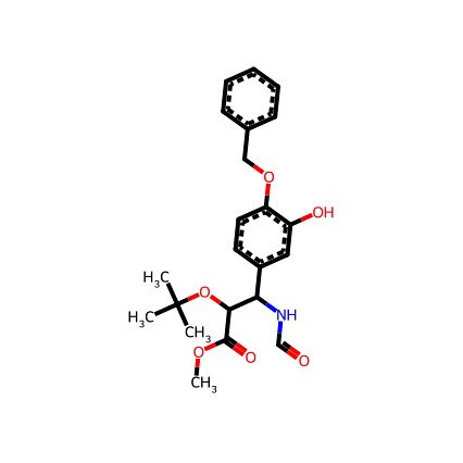 COC(=O)C(OC(C)(C)C)C(NC=O)c1ccc(OCc2ccccc2)c(O)c1